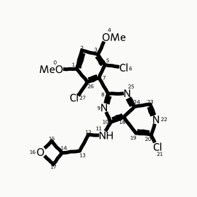 COc1cc(OC)c(Cl)c(-c2nc(NCCC3COC3)c3cc(Cl)ncc3n2)c1Cl